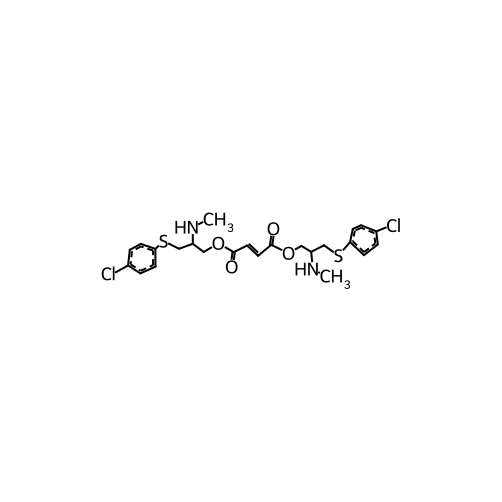 CNC(COC(=O)/C=C/C(=O)OCC(CSc1ccc(Cl)cc1)NC)CSc1ccc(Cl)cc1